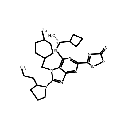 CCCC1CCCN1c1nc2nc(-c3nc(=O)o[nH]3)nc(N[C@H](C)C3CCC3)c2n1CC1CCC(C)CC1